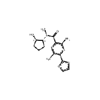 Cc1nc(C(=O)N(C)[C@@H]2CCC[C@H]2O)c(N)nc1-c1ncco1